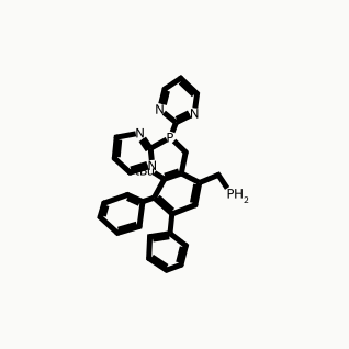 CC(C)(C)c1c(CP(c2ncccn2)c2ncccn2)c(CP)cc(-c2ccccc2)c1-c1ccccc1